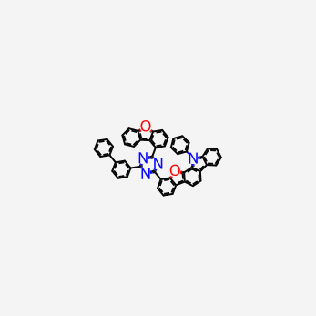 c1ccc(-c2cccc(-c3nc(-c4cccc5c4oc4c5ccc5c6ccccc6n(-c6ccccc6)c54)nc(-c4cccc5oc6ccccc6c45)n3)c2)cc1